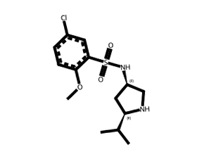 COc1ccc(Cl)cc1S(=O)(=O)N[C@H]1CN[C@@H](C(C)C)C1